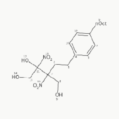 CCCCCCCCc1ccc(CCC(CO)([N+](=O)[O-])C(O)(CO)[N+](=O)[O-])cc1